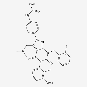 COC(=O)Nc1ccc(-n2nc3c(c2CN(C)C)c(=O)n(-c2cccc(OC)c2F)c(=O)n3Cc2ccccc2F)cc1